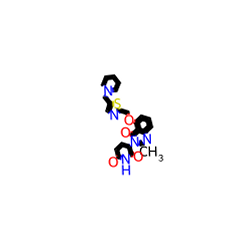 Cc1nc2cccc(OCc3ncc(CN4CCCCC4)s3)c2c(=O)n1C1CCC(=O)NC1=O